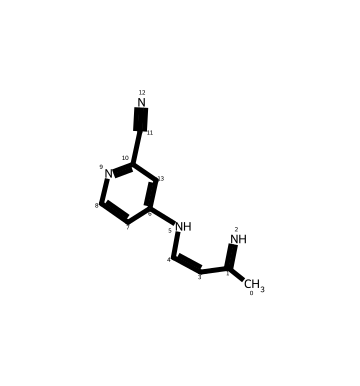 CC(=N)/C=C\Nc1ccnc(C#N)c1